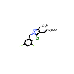 CO/C=C/c1c(C(=O)O)nn(Cc2cc(F)cc(F)c2)c1Cl